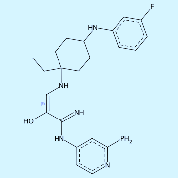 CCC1(N/C=C(/O)C(=N)Nc2ccnc(P)c2)CCC(Nc2cccc(F)c2)CC1